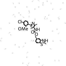 COc1cc(Cl)ccc1-c1nc(C)c(NC(=O)OCc2ccc3c(c2)NC(C)S3)s1